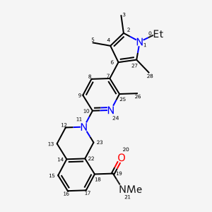 CCn1c(C)c(C)c(-c2ccc(N3CCc4cccc(C(=O)NC)c4C3)nc2C)c1C